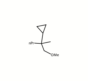 [CH2]CCC(C)(COC)C1CC1